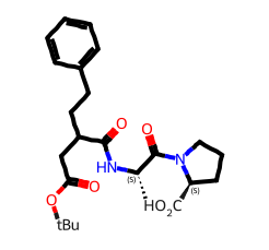 C[C@H](NC(=O)C(CCc1ccccc1)CC(=O)OC(C)(C)C)C(=O)N1CCC[C@H]1C(=O)O